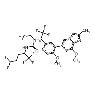 CCN(C(=O)NC(CCC(F)F)C(F)(F)F)[C@@H](c1cc(-c2cn3cc(C)nc3c(OC)n2)c(OC)cn1)C(F)(F)F